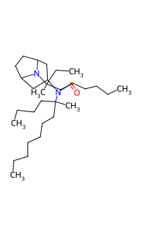 CCCCCCCC(C)(CCCC)N(C=O)C1CC2CCC(C1)N2C(C)(CC)CCCCCC